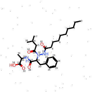 CCCCCCCCCC(=O)NN(C(=O)CC(C)C)C(Cc1ccccc1)C(=O)NC(C)C(=O)O